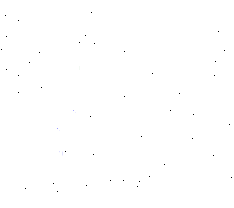 CC(C#Cc1ccc(OCc2ccccc2)c(Cl)c1)NC(=O)N1CCNCC1.Cl